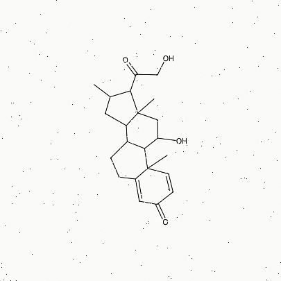 CC1CC2C3CCC4=CC(=O)C=CC4(C)C3C(O)CC2(C)C1C(=O)CO